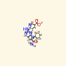 COC(=O)c1ccc(Nc2ncc3cc(C(=O)N(C)C)n(C4CCCCC4)c3n2)nc1